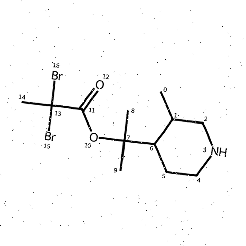 CC1CNCCC1C(C)(C)OC(=O)C(C)(Br)Br